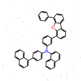 c1ccc(-c2cccc3c2oc2c(-c4cccc(N(c5ccc(-c6cccc7ccccc67)cc5)c5cccc6ccccc56)c4)cccc23)cc1